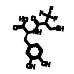 O=C(N[C@H](Cc1ccc(O)c(O)c1)C(=O)O)C(CS)C(F)(F)F